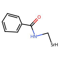 O=C(N[CH2][SrH])c1ccccc1